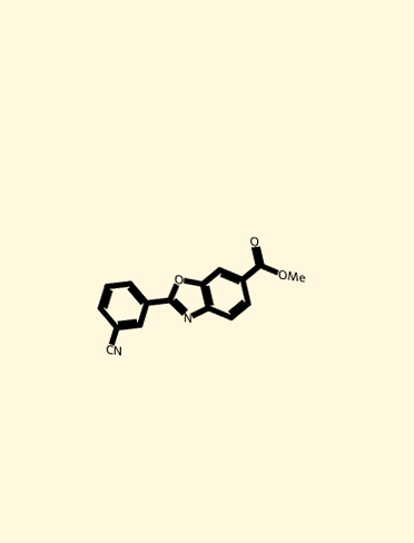 COC(=O)c1ccc2nc(-c3cccc(C#N)c3)oc2c1